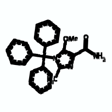 COc1c(C(N)=O)nc(C)n1C(c1ccccc1)(c1ccccc1)c1ccccc1